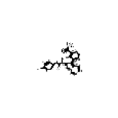 O=C(Cc1ccc(F)cc1)Nc1nn2cnccc2c1-c1cccc(C(=O)O)c1